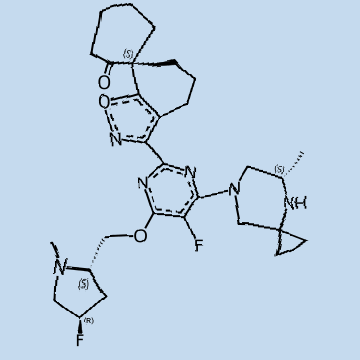 C[C@H]1CN(c2nc(-c3noc4c3CCC[C@@]43CCCCC3=O)nc(OC[C@@H]3C[C@@H](F)CN3C)c2F)CC2(CC2)N1